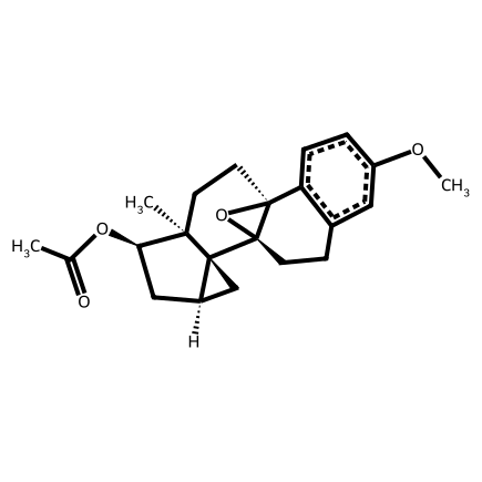 COc1ccc2c(c1)CC[C@@]13O[C@@]21CC[C@]1(C)[C@H](OC(C)=O)C[C@@H]2C[C@]231